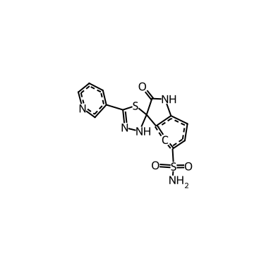 NS(=O)(=O)c1ccc2c(c1)C1(NN=C(c3cccnc3)S1)C(=O)N2